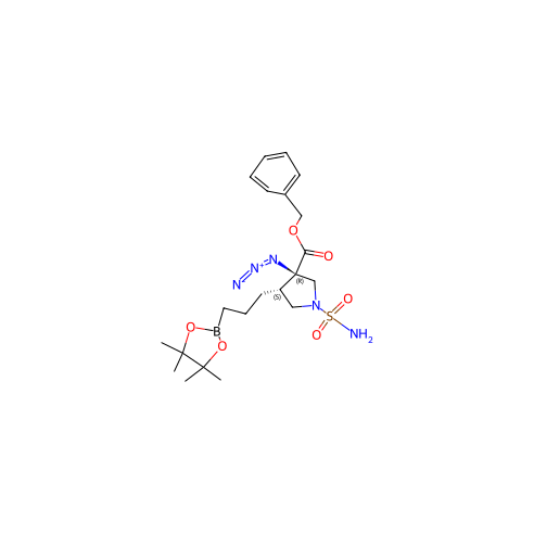 CC1(C)OB(CCC[C@H]2CN(S(N)(=O)=O)C[C@@]2(N=[N+]=[N-])C(=O)OCc2ccccc2)OC1(C)C